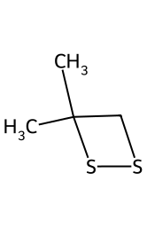 CC1(C)CSS1